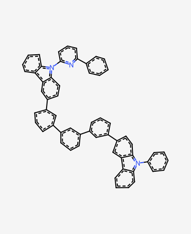 c1ccc(-c2cccc(-n3c4ccccc4c4cc(-c5cccc(-c6cccc(-c7cccc(-c8ccc9c(c8)c8ccccc8n9-c8ccccc8)c7)c6)c5)ccc43)n2)cc1